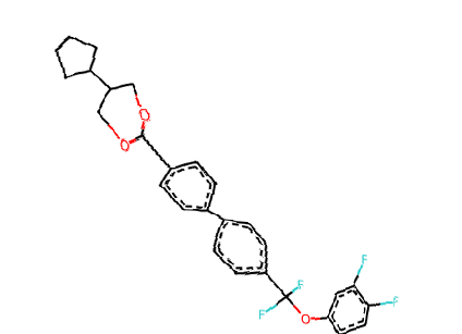 Fc1ccc(OC(F)(F)c2ccc(-c3ccc(C4OCC(C5CCCC5)CO4)cc3)cc2)cc1F